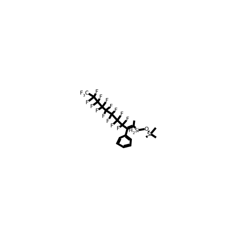 CC([SiH2]O[Si](C)(C)C)=C(c1ccccc1)C(F)(F)C(F)(F)C(F)(F)C(F)(F)C(F)(F)C(F)(F)C(F)(F)C(F)(F)F